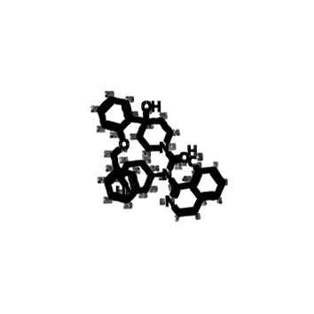 Cc1cccc2ccnc(N(C(=O)N3CCC(O)(c4ccccc4OCc4ccccc4)CC3)[C@@H]3CCCNC3)c12